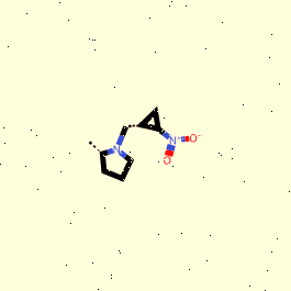 C[C@H]1CCCN1C[C@@H]1CC1[N+](=O)[O-]